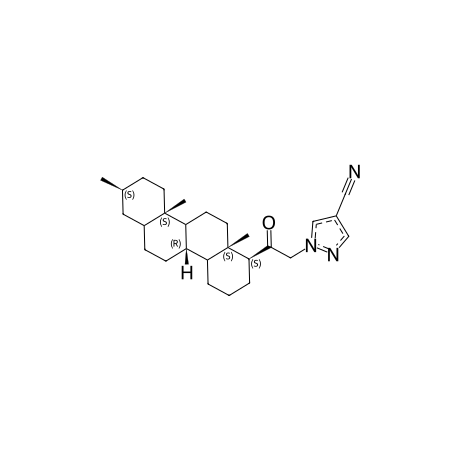 C[C@H]1CC[C@@]2(C)C(CC[C@@H]3C2CC[C@@]2(C)C3CCC[C@@H]2C(=O)Cn2cc(C#N)cn2)C1